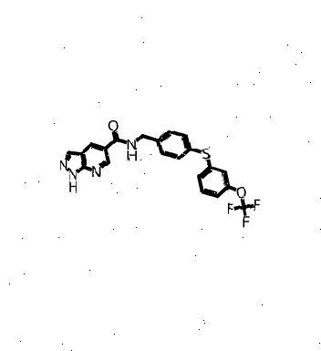 O=C(NCc1ccc(Sc2cccc(OC(F)(F)F)c2)cc1)c1cnc2[nH]ncc2c1